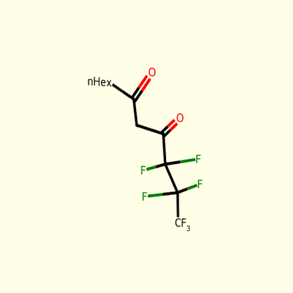 CCCCCCC(=O)CC(=O)C(F)(F)C(F)(F)C(F)(F)F